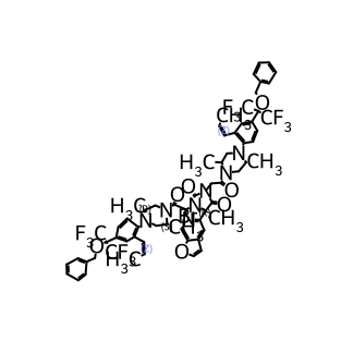 C/C=C\c1cc(C(OCc2ccccc2)(C(F)(F)F)C(F)(F)F)ccc1N1CC(C)N(C(=O)CN2C(=O)N(C(Br)C(=O)N3C[C@@H](C)N(c4ccc(C(OCc5ccccc5)(C(F)(F)F)C(F)(F)F)cc4/C=C\C)C[C@@H]3C)[C@](C)(c3cc4ccoc4cn3)C2=O)CC1C